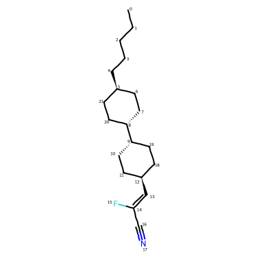 CCCCC[C@H]1CC[C@H]([C@H]2CC[C@H](C=C(F)C#N)CC2)CC1